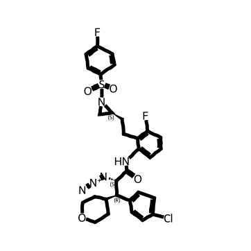 [N-]=[N+]=N[C@H](C(=O)Nc1cccc(F)c1CC[C@H]1CN1S(=O)(=O)c1ccc(F)cc1)[C@@H](c1ccc(Cl)cc1)C1CCOCC1